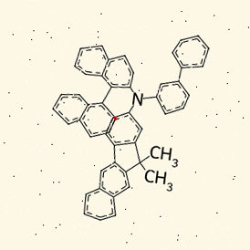 CC1(C)c2cc(N(c3cccc(-c4ccccc4)c3)c3ccc4ccccc4c3-c3cccc4ccccc34)ccc2-c2cc3ccccc3cc21